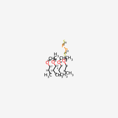 CCCOC.CCCOC.CCCOC.CCCOC.S=PP=S